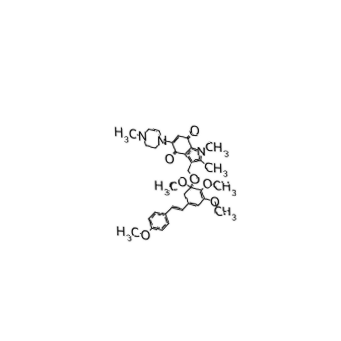 COC1=C(OC)C(OC)(OCc2c3c(n(C)c2C)C(=O)C=C(N2CCN(C)CC2)C3=O)CC(C=Cc2ccc(OC)cc2)=C1